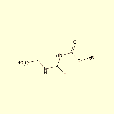 CC(NCC(=O)O)NC(=O)OC(C)(C)C